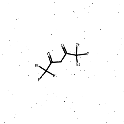 CCC(F)(CC)C(=O)CC(=O)C(F)(CC)CC